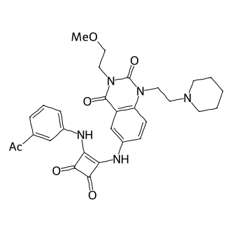 COCCn1c(=O)c2cc(Nc3c(Nc4cccc(C(C)=O)c4)c(=O)c3=O)ccc2n(CCN2CCCCC2)c1=O